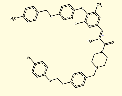 C/C(=C\c1cc(C)c(Oc2ccc(OCc3ccc(C)cc3)cn2)c(Cl)c1)C(=O)N1CCN(Cc2ccc(CCOc3ccc(C(C)C)cc3)cc2)CC1